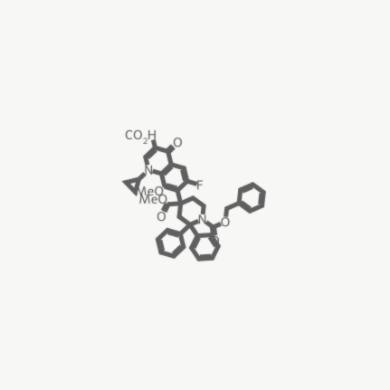 COC(=O)C1(c2c(F)cc3c(=O)c(C(=O)O)cn(C4CC4)c3c2OC)CCN(C(=O)OCc2ccccc2)C(c2ccccc2)(c2ccccc2)C1